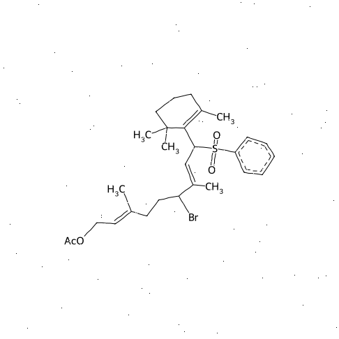 CC(=O)OC/C=C(\C)CCC(Br)/C(C)=C/C(C1=C(C)CCCC1(C)C)S(=O)(=O)c1ccccc1